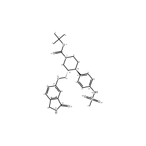 CC(C)(C)OC(=O)N1CC[C@@H](c2ccc(NS(C)(=O)=O)cc2)[C@H](COc2ccc3c(c2)C(=O)NC3)C1